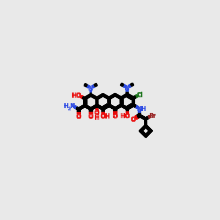 CN(C)c1c(Cl)c(NC(=O)C(Br)C2CCC2)c(O)c2c1CC1CC3[C@H](N(C)C)C(O)=C(C(N)=O)C(=O)C3(O)C(O)=C1C2=O